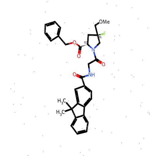 COC[C@@]1(F)C[C@@H](C(=O)OCc2ccccc2)N(C(=O)CNC(=O)c2ccc3c(c2)C(C)(C)c2ccccc2-3)C1